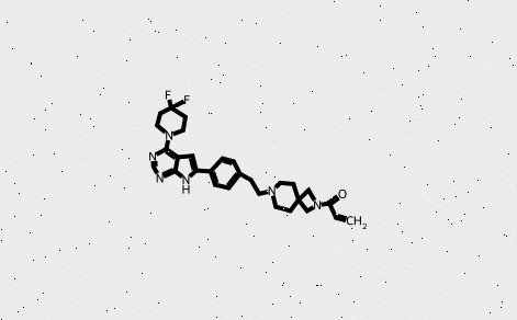 C=CC(=O)N1CC2(CCN(CCc3ccc(-c4cc5c(N6CCC(F)(F)CC6)ncnc5[nH]4)cc3)CC2)C1